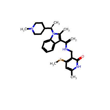 C=C(NCc1c(SC)cc(C)[nH]c1=O)c1c(C)n([C@H](C)C2CCN(C)CC2)c2ccccc12